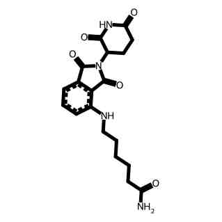 NC(=O)CCCCCNc1cccc2c1C(=O)N(C1CCC(=O)NC1=O)C2=O